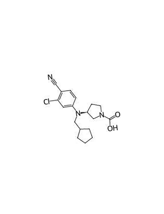 N#Cc1ccc(N(CC2CCCC2)[C@H]2CCN(C(=O)O)C2)cc1Cl